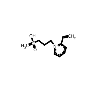 C=Cc1cccc[n+]1CCCS(=C)(=O)O